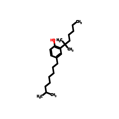 CCCCCC(C)(C)c1cc(CCCCCCC(C)C)ccc1O